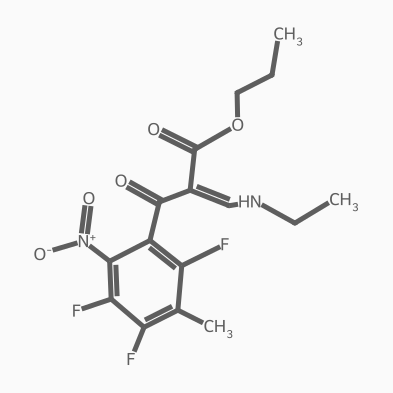 CCCOC(=O)C(=CNCC)C(=O)c1c(F)c(C)c(F)c(F)c1[N+](=O)[O-]